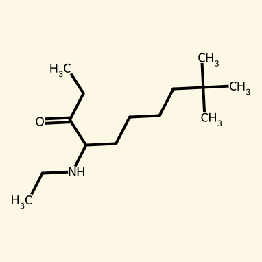 CCNC(CCCCC(C)(C)C)C(=O)CC